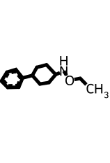 CCONC1CCC(c2ccccc2)CC1